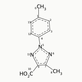 Cc1ccc(-n2nc(C)c(C(=O)O)n2)cc1